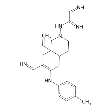 C=CC12CC(C=N)=C(Nc3ccc(C)cc3)CC1CCN(NC(=N)C=N)C2